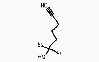 C#CCCCC(O)(CC)CC